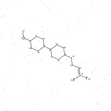 COC1CCC(C2CCC(CCC=C(F)F)CC2)CC1